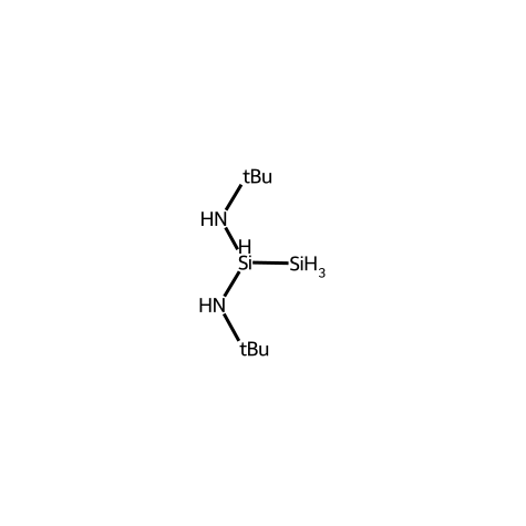 CC(C)(C)N[SiH]([SiH3])NC(C)(C)C